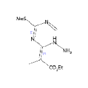 C=N/C(=N\C(NN)=C(/C)C(=O)OCC)SC